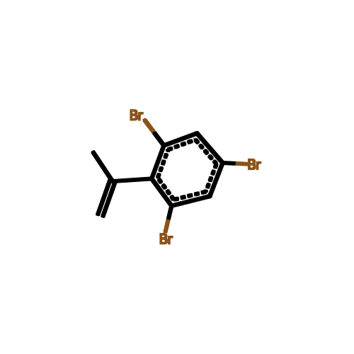 C=C(C)c1c(Br)cc(Br)cc1Br